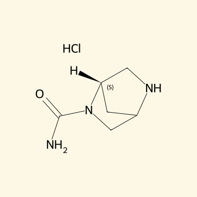 Cl.NC(=O)N1CC2C[C@H]1CN2